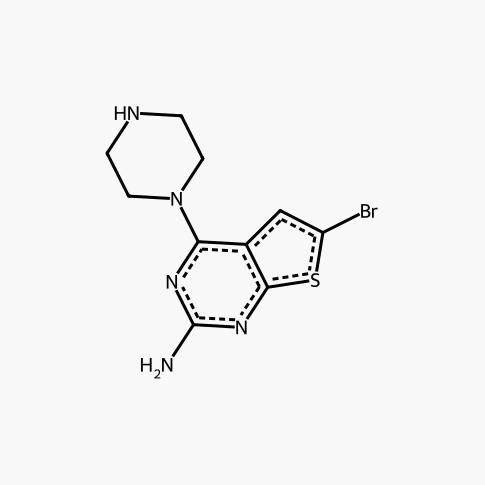 Nc1nc(N2CCNCC2)c2cc(Br)sc2n1